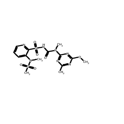 COc1nc(C)nc(N(C)C(=O)NS(=O)(=O)c2ncccc2N(C)S(C)(=O)=O)n1